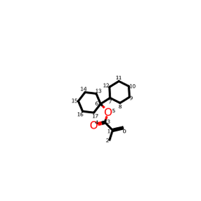 C=C(C)C(=O)OC1(C2CCCCC2)CCCCC1